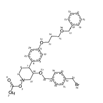 O=C(O)ON1CCC(c2ccc(OCCCOCc3ccccc3)cc2)C(OCc2ccc(CBr)cc2)C1